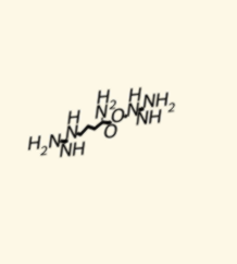 N=C(N)NCCC[C@H](N)C(=O)OCNC(=N)N